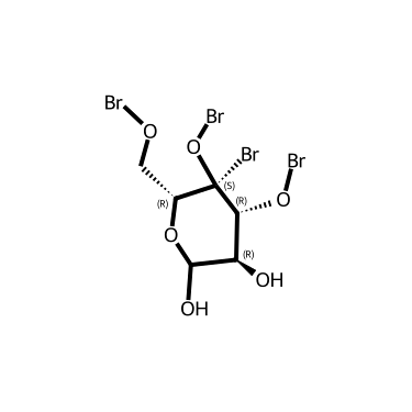 OC1O[C@H](COBr)[C@@](Br)(OBr)[C@H](OBr)[C@H]1O